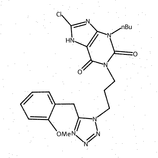 CCCCn1c(=O)n(CCCn2nnnc2Cc2ccccc2OC)c(=O)c2[nH]c(Cl)nc21